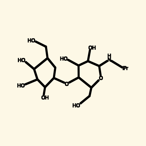 CC(C)NC1OC(CO)C(OC2CC(CO)C(O)C(O)C2O)C(O)C1O